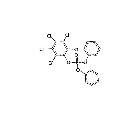 O=P(Oc1ccccc1)(Oc1ccccc1)Oc1c(Cl)c(Cl)c(Cl)c(Cl)c1Cl